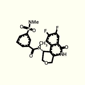 CNS(=O)(=O)c1cccc(C(=O)N(C)[C@H]2COCc3[nH]c(=O)c4cc(F)c(F)cc4c32)c1